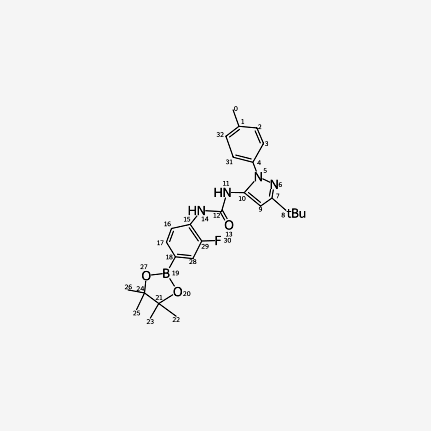 Cc1ccc(-n2nc(C(C)(C)C)cc2NC(=O)Nc2ccc(B3OC(C)(C)C(C)(C)O3)cc2F)cc1